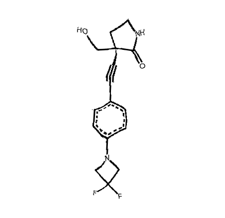 O=C1NCC[C@@]1(C#Cc1[c]cc(N2CC(F)(F)C2)cc1)CO